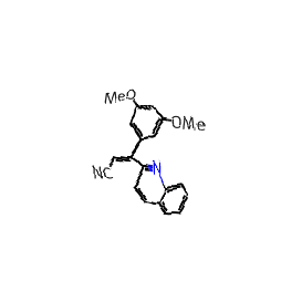 COc1cc(OC)cc(/C(=C/C#N)c2ccc3ccccc3n2)c1